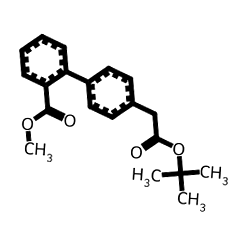 COC(=O)c1ccccc1-c1ccc(CC(=O)OC(C)(C)C)cc1